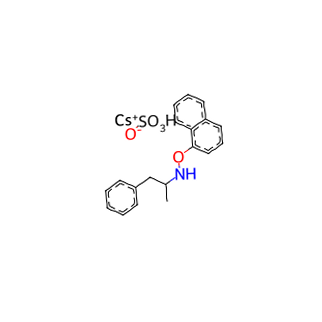 CC(Cc1ccccc1)NOc1cccc2ccccc12.O=S(=O)([O-])O.[Cs+]